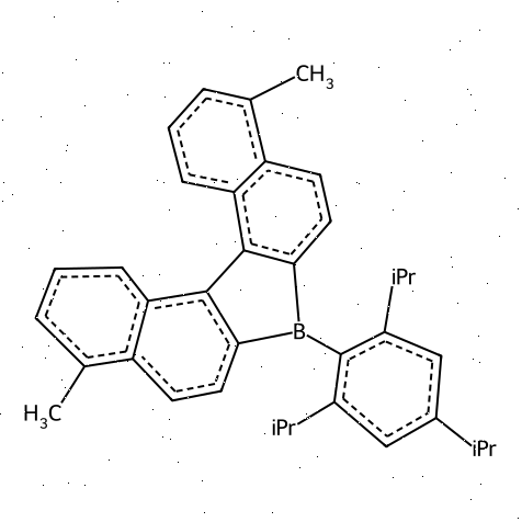 Cc1cccc2c3c(ccc12)B(c1c(C(C)C)cc(C(C)C)cc1C(C)C)c1ccc2c(C)cccc2c1-3